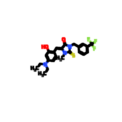 CCN(CC)c1ccc(C=C2C(=O)N(Cc3cccc(C(F)(F)F)c3)C(=S)N2C)c(O)c1